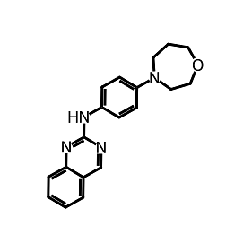 c1ccc2nc(Nc3ccc(N4CCCOCC4)cc3)ncc2c1